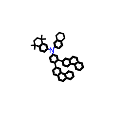 CC1(C)CCC(C)(C)c2cc(N(c3ccc4c(c3)CCCC4)c3ccc(-c4ccc5ccc6ccccc6c5c4)c(-c4ccc5c(ccc6ccccc65)c4)c3)ccc21